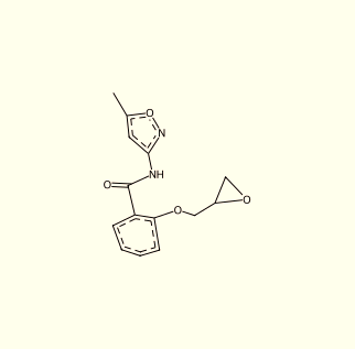 Cc1cc(NC(=O)c2ccccc2OCC2CO2)no1